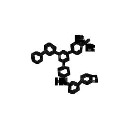 CCC(C)(CC)C1C=CC(C2=CC(c3cccc(C4=CC=CCC4)c3)CC(C3=CC=C(Nc4cccc(-c5ccc6c(c5)CC6)c4)CC3)=C2)=CC1